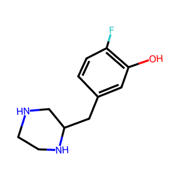 Oc1cc(CC2CNCCN2)ccc1F